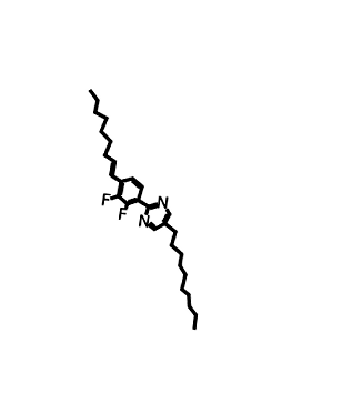 CCCCCCCC=Cc1ccc(-c2ncc(CCCCCCCCCC)cn2)c(F)c1F